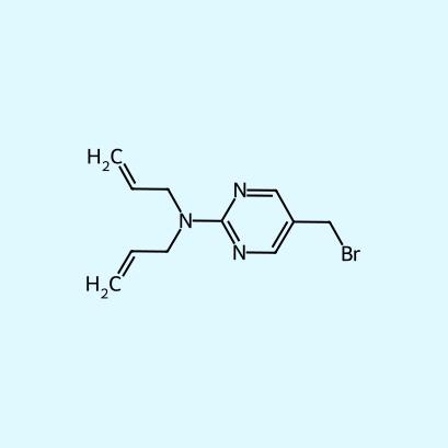 C=CCN(CC=C)c1ncc(CBr)cn1